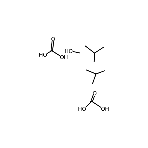 CC(C)C.CC(C)C.CO.O=C(O)O.O=C(O)O